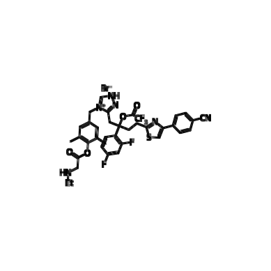 CCNCC(=O)Oc1c(C)cc(C[n+]2c[nH]nc2CC(CCc2nc(-c3ccc(C#N)cc3)cs2)(OC(=O)C(F)(F)F)c2ccc(F)cc2F)cc1C.[Br-]